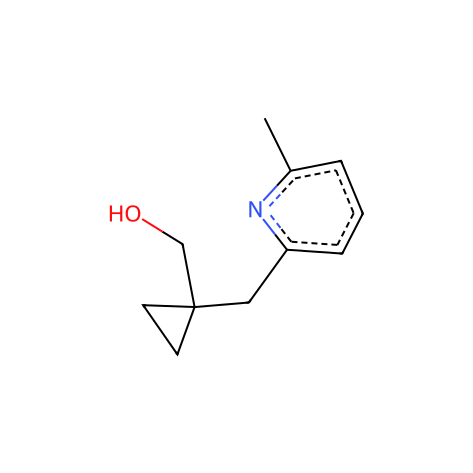 Cc1cccc(CC2(CO)CC2)n1